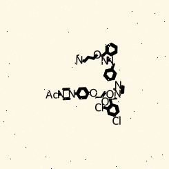 CC(=O)N1CCN(c2ccc(OC[C@H]3CO[C@](Cn4ccnc4)(c4ccc(Cl)cc4Cl)O3)cc2)CC1.CN(C)CCCOc1nn(Cc2ccccc2)c2ccccc12